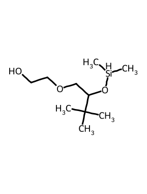 C[SiH](C)OC(COCCO)C(C)(C)C